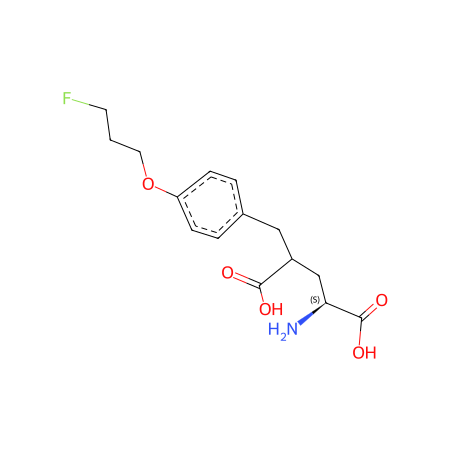 N[C@@H](CC(Cc1ccc(OCCCF)cc1)C(=O)O)C(=O)O